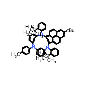 Cc1ccc(N2c3cccc(c3)N(c3ccccc3[Si](C)(C)C)c3cc(c4ccc5cc(C(C)(C)C)cc6ccc3c4c65)N(c3ccccc3[Si](C)(C)C)c3cccc2c3)cc1